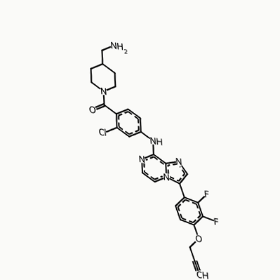 C#CCOc1ccc(-c2cnc3c(Nc4ccc(C(=O)N5CCC(CN)CC5)c(Cl)c4)nccn23)c(F)c1F